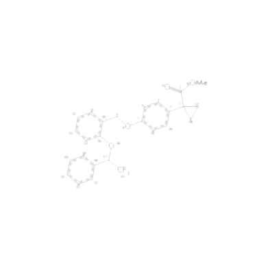 COC(=O)C1(c2ccc(OCc3ccccc3OC(c3ccccc3)C(F)(F)F)cc2)CC1